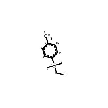 C[Si](C)(CI)c1ccc(C(F)(F)F)cc1